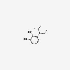 CCC(c1cccc(O)c1O)C(C)C